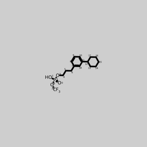 O=P(O)(OCCCc1cccc(C2CCCCC2)c1)OC(F)(F)F